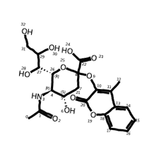 CC(=O)N[C@@H]1[C@@H](O)CC(Oc2c(C)c3ccccc3oc2=O)(C(=O)O)O[C@H]1C(O)C(O)CO